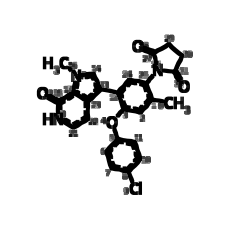 Cc1cc(Oc2ccc(Cl)cc2)c(-c2cn(C)c3c(=O)[nH]ccc23)cc1N1C(=O)CCC1=O